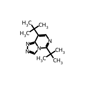 CC(C)(C)c1cnc(C(C)(C)C)n2cnnc12